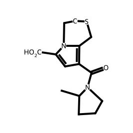 CC1CCCN1C(=O)c1cc(C(=O)O)n2c1CSCC2